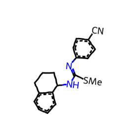 CSC(=Nc1ccc(C#N)cc1)NC1CCCc2ccccc21